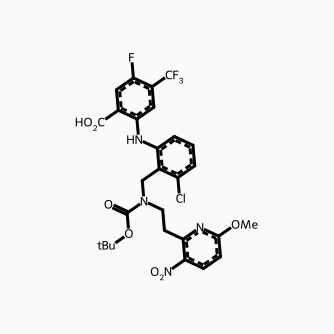 COc1ccc([N+](=O)[O-])c(CCN(Cc2c(Cl)cccc2Nc2cc(C(F)(F)F)c(F)cc2C(=O)O)C(=O)OC(C)(C)C)n1